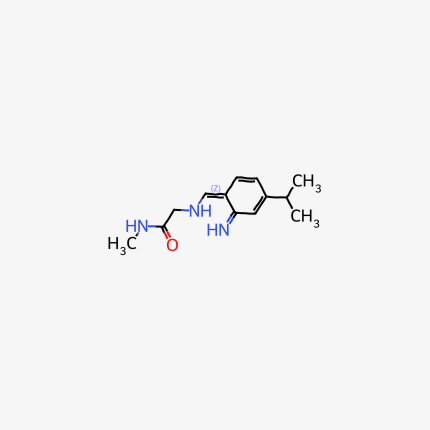 CNC(=O)CN/C=C1/C=CC(C(C)C)=CC1=N